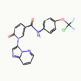 O=C(Nc1ccc(OC(F)(F)Cl)cc1)c1ccc(=O)n(-c2cnc3cccnn23)c1